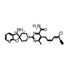 C#C/C(Cl)=C\C=C/Cc1c(C)nc(N2CCC3(CC2)Oc2ncccc2[C@H]3N)nc1C(N)=O